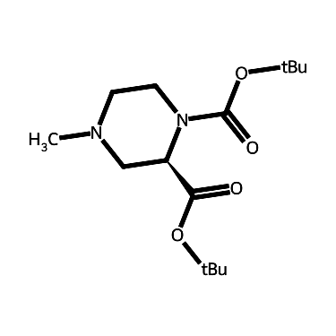 CN1CCN(C(=O)OC(C)(C)C)[C@@H](C(=O)OC(C)(C)C)C1